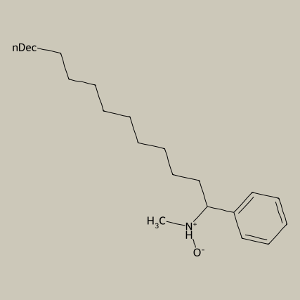 CCCCCCCCCCCCCCCCCCCC(c1ccccc1)[NH+](C)[O-]